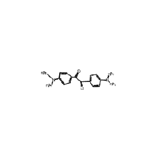 CCCN(CCC)c1ccc(C(=O)C(=O)c2ccc(N(CCC)CCC)cc2)cc1